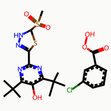 CC(C)(C)c1nc(C2=NNC(S(C)(=O)=O)S2)nc(C(C)(C)C)c1O.O=C(OO)c1cccc(Cl)c1